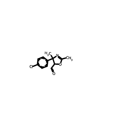 CC1=NC(C)(c2ccc(Cl)cc2)C(C=O)O1